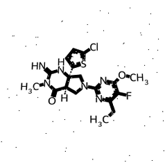 CCc1nc(N2C[C@H]3C(=O)N(C)C(=N)N[C@@]3(c3ccc(Cl)s3)C2)nc(OC)c1F